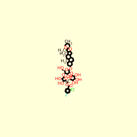 C[C@@H]1CC[C@@]2(OC1)OC1CC3C4CC=C5C[C@@H](O[C@@H]6O[C@H](CO)[C@@H](O[C@@H]7O[C@@H](COC(=O)c8ccc(F)cc8Cl)[C@H](O)[C@H]7O)[C@H](O)[C@H]6O[C@@H]6O[C@@H](C)[C@H](O)[C@@H](O)[C@H]6O)CC[C@]5(C)C4CC[C@]3(C)C1[C@@H]2C